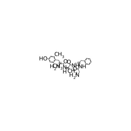 Cc1cc(O)cc(C)c1C[C@H](N)C(=O)N[C@H](C)C(=O)NC[C@H](Cc1ccccc1)NC(=O)CN